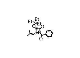 CC[Si](CC)(CC)O[C@H]1C(=O)N(C(=O)c2ccccc2)[C@H]1C=C(C)C